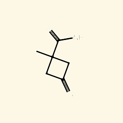 CC1(C(N)=O)CC(=O)C1